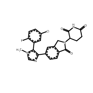 Cn1cnc(-c2ccc3c(c2)CN(C2CCC(=O)NC2=O)C3=O)c1-c1cc(Cl)ccc1F